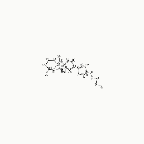 CCCCCc1ccc(-c2ccc(C(C)C3(C#N)CCCC(C)C3)cc2)cc1